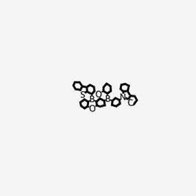 c1cc(B2c3ccccc3Oc3c2ccc2c3B(c3cccc4c3sc3ccccc34)c3ccccc3O2)cc(-n2c3ccccc3c3ccccc32)c1